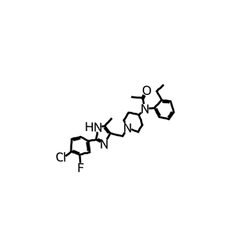 CCc1ccccc1N(C(C)=O)C1CCN(Cc2nc(-c3ccc(Cl)c(F)c3)[nH]c2C)CC1